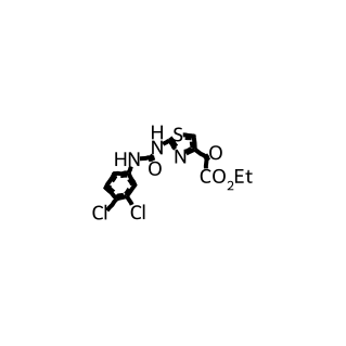 CCOC(=O)C(=O)c1csc(NC(=O)Nc2ccc(Cl)c(Cl)c2)n1